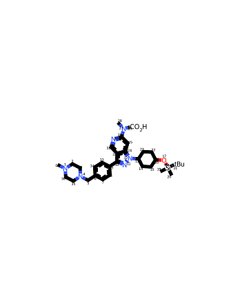 CN1CCN(Cc2ccc(-c3nn(C4CCC(O[Si](C)(C)C(C)(C)C)CC4)c4cc(N(C)C(=O)O)ncc34)cc2)CC1